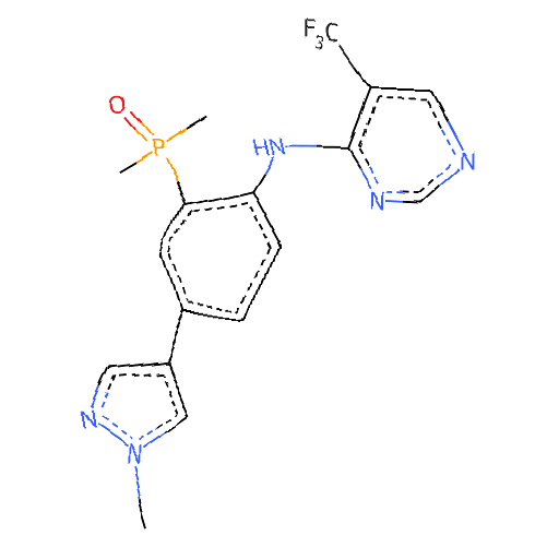 Cn1cc(-c2ccc(Nc3ncncc3C(F)(F)F)c(P(C)(C)=O)c2)cn1